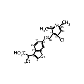 CCC(C(=O)O)c1csc2cc(OCc3c(Cl)cc(C)nc3C)ccc12